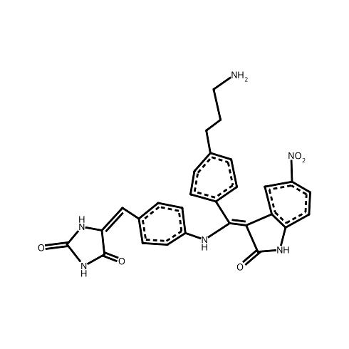 NCCCc1ccc(/C(Nc2ccc(/C=C3/NC(=O)NC3=O)cc2)=C2/C(=O)Nc3ccc([N+](=O)[O-])cc32)cc1